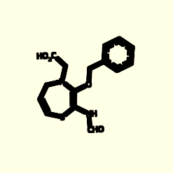 O=CNC1=C(OCc2ccccc2)N(CC(=O)O)CC=CS1